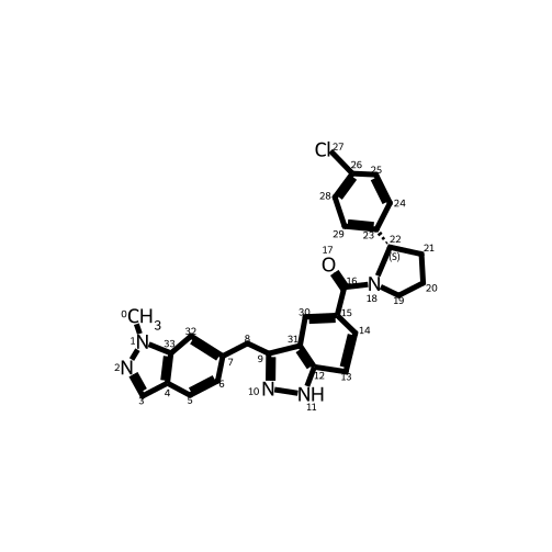 Cn1ncc2ccc(Cc3n[nH]c4ccc(C(=O)N5CCC[C@H]5c5ccc(Cl)cc5)cc34)cc21